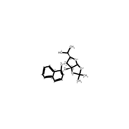 CC(O)[C@H]1OC2OC(C)(C)O[C@@H]2[C@@H]1Oc1cccc2ccccc12